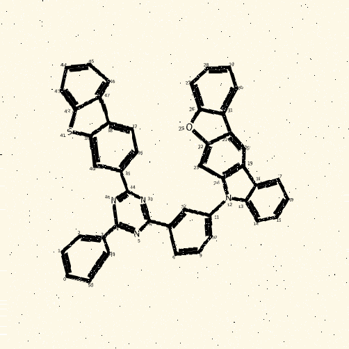 c1ccc(-c2nc(-c3cccc(-n4c5ccccc5c5cc6c(cc54)oc4ccccc46)c3)nc(-c3ccc4c(c3)sc3ccccc34)n2)cc1